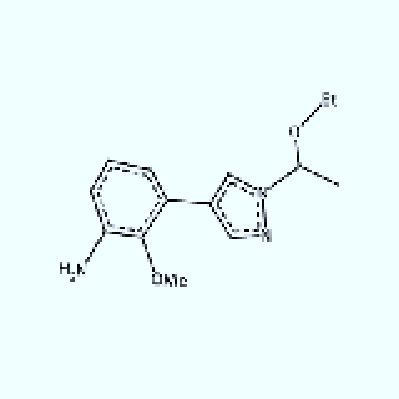 CCOC(C)n1cc(-c2cccc(N)c2OC)cn1